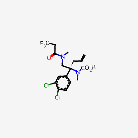 C=CC[C@@](CN(C)C(=O)CC(F)(F)F)(c1ccc(Cl)c(Cl)c1)N(C)C(=O)O